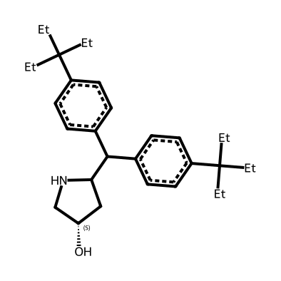 CCC(CC)(CC)c1ccc(C(c2ccc(C(CC)(CC)CC)cc2)C2C[C@H](O)CN2)cc1